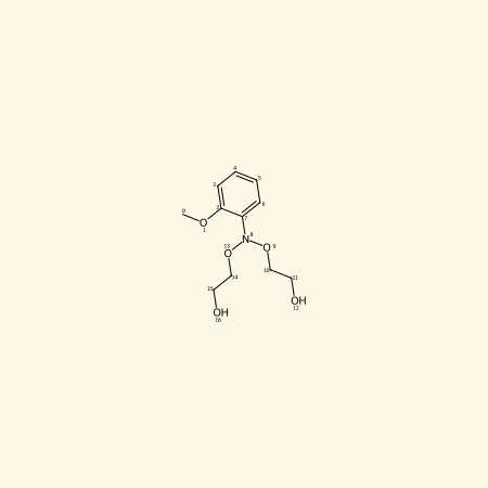 COc1ccccc1N(OCCO)OCCO